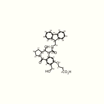 O=C(O)CCOc1cc2c(cc1CO)C(=O)N1CCCC1C(O)N2C(=O)OCC1c2ccccc2-c2ccccc21